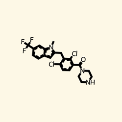 Cn1c(Cc2c(Cl)ccc(C(=O)N3CCNCC3)c2Cl)cc2ccc(C(F)(F)F)cc21